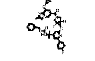 Cc1cn2cc(C(=O)N3C[C@@H]4C(Oc5cc(C(C)(C)NC(=O)OCc6ccccc6)cc(-c6ccc(F)cc6)n5)[C@@H]4C3)cc(OC3CC3)c2n1